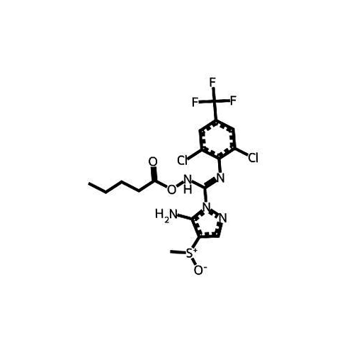 CCCCC(=O)ONC(=Nc1c(Cl)cc(C(F)(F)F)cc1Cl)n1ncc([S+](C)[O-])c1N